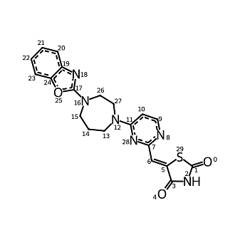 O=C1NC(=O)/C(=C/c2nccc(N3CCCN(c4nc5ccccc5o4)CC3)n2)S1